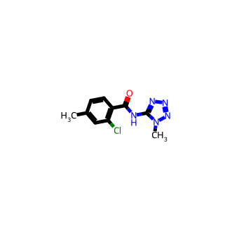 Cc1ccc(C(=O)Nc2nnnn2C)c(Cl)c1